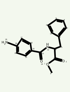 COC(=O)C(Cc1ccccc1)NC(=O)c1ccc(N)cc1